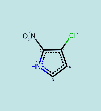 O=[N+]([O-])c1[nH]ccc1Cl